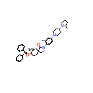 Cc1cc(N2CCC(N3CCCC3C)CC2)ccc1N1CCC2(CCC(O[Si](c3ccccc3)(c3ccccc3)C(C)(C)C)CC2)C1=O